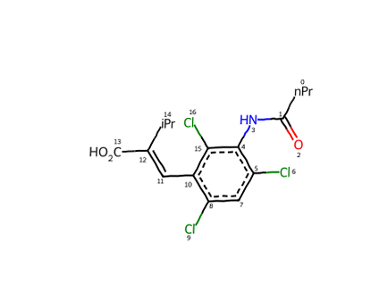 CCCC(=O)Nc1c(Cl)cc(Cl)c(C=C(C(=O)O)C(C)C)c1Cl